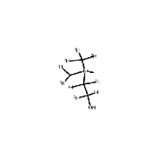 [2H]C([2H])[N+](C)(C([2H])([2H])[2H])C([2H])([2H])C([2H])([2H])O